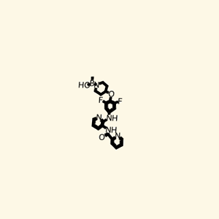 CB(O)N1CCC(Oc2c(F)cc(Nc3ncccc3NC(=O)c3ccccn3)cc2F)CC1